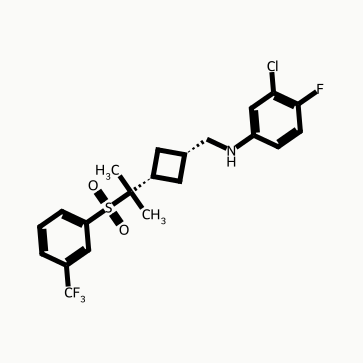 CC(C)([C@H]1C[C@@H](CNc2ccc(F)c(Cl)c2)C1)S(=O)(=O)c1cccc(C(F)(F)F)c1